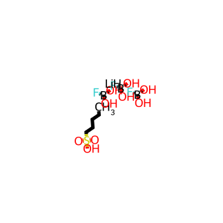 CCCCCS(=O)(=O)O.OB(O)F.OB(O)F.OB(O)F.[LiH]